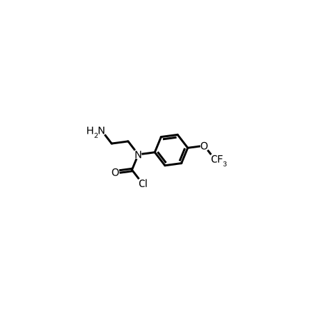 NCCN(C(=O)Cl)c1ccc(OC(F)(F)F)cc1